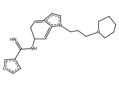 N=C(NC1C=c2c(ccn2CCCN2CCCCC2)=CC1)c1ccoc1